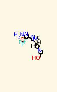 CC(C)n1nc(-c2cnc(N)c(OC(F)(F)F)c2)cc1[C@H]1[C@@H]2C[C@@H](N3CC[C@@H](CO)C3)C[C@@H]21